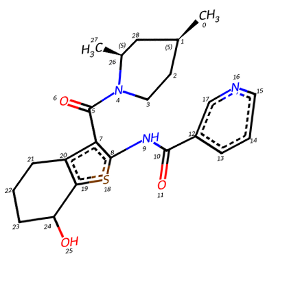 C[C@H]1CCN(C(=O)c2c(NC(=O)c3cccnc3)sc3c2CCCC3O)[C@@H](C)C1